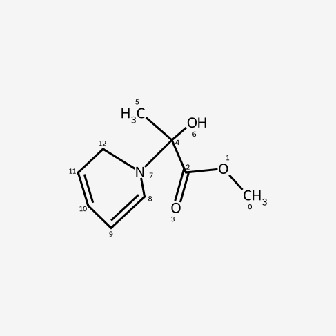 COC(=O)C(C)(O)N1C=CC=CC1